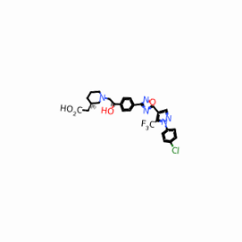 O=C(O)C[C@H]1CCCN(C[C@H](O)c2ccc(-c3noc(-c4cnn(-c5ccc(Cl)cc5)c4C(F)(F)F)n3)cc2)C1